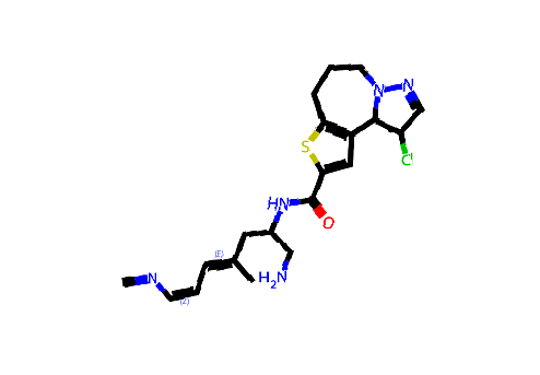 C=N/C=C\C=C(/C)CC(CN)NC(=O)c1cc2c(s1)CCCN1N=CC(Cl)C21